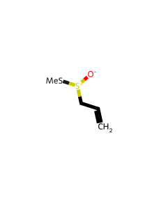 C=CC[S+]([O-])SC